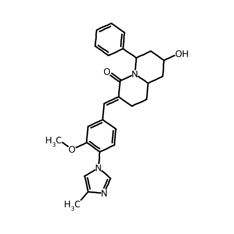 COc1cc(/C=C2\CCC3CC(O)CC(c4ccccc4)N3C2=O)ccc1-n1cnc(C)c1